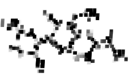 CCn1c(=O)c(-c2cc(N)ccc2Cl)cc2cnc(NC)cc21